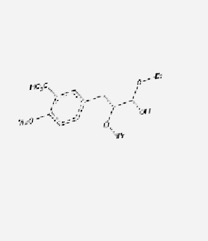 CCOC(O)C(Cc1ccc(OC)c(C(=O)O)c1)OC(C)C